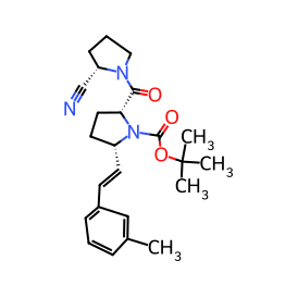 Cc1cccc(C=C[C@@H]2CC[C@H](C(=O)N3CCC[C@H]3C#N)N2C(=O)OC(C)(C)C)c1